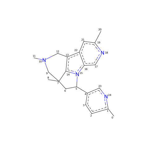 Cc1ccc(C2CC3(C)CN(C)Cc4c3n2c2cnc(C)cc42)cn1